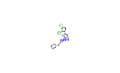 Clc1ccc(-c2csc(NN=CC=Cc3ccccc3)n2)c(Cl)c1